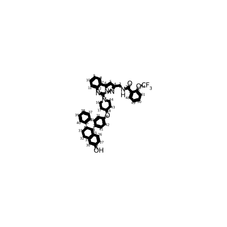 O=C(NCc1cc2c3ccccc3nc(N3CCC(Oc4ccc([C@@H]5c6ccc(O)cc6CC[C@@H]5c5ccccc5)cc4)CC3)n2n1)c1ccccc1OC(F)(F)F